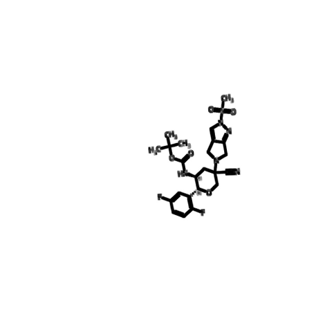 CC(C)(C)OC(=O)N[C@H]1CC(C#N)(N2Cc3cn(S(C)(=O)=O)nc3C2)CO[C@@H]1c1cc(F)ccc1F